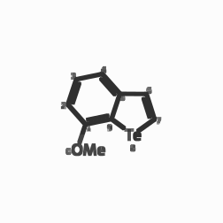 COc1cccc2cc[te]c12